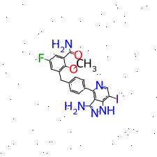 COc1c(Cc2ccc(-c3ncc(I)c4[nH]nc(N)c34)cc2)cc(F)cc1C(N)=O